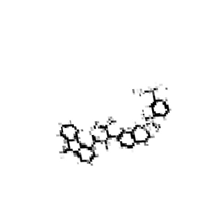 CN(C)c1cccc(S(=O)(=O)N2CCc3ccc(C(NC(=O)c4cccc5c4-c4ccccc4C5=O)C(=O)O)cc3C2)c1